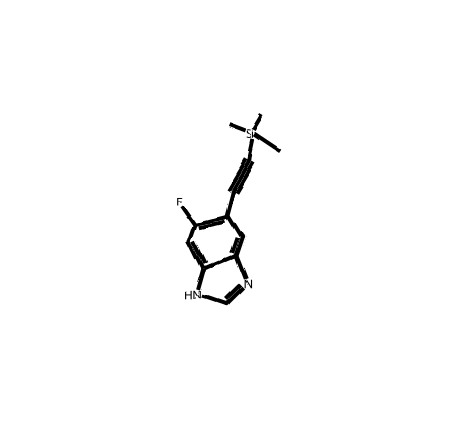 C[Si](C)(C)C#Cc1cc2nc[nH]c2cc1F